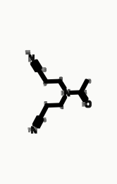 CC(=O)N(CCC#N)CCC#N